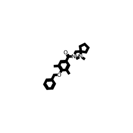 Cc1cc(C(=O)NCC2(N(C)C)CCCC2)cc(C)c1OCc1ccccc1